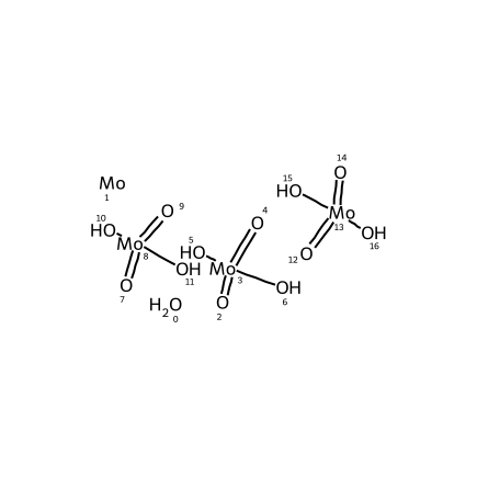 O.[Mo].[O]=[Mo](=[O])([OH])[OH].[O]=[Mo](=[O])([OH])[OH].[O]=[Mo](=[O])([OH])[OH]